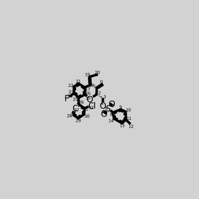 C=C[C@H](COS(=O)(=O)c1ccc(C)cc1)Oc1c(C=CC)ccc(F)c1-c1ccccc1Cl